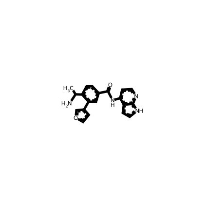 CC(N)c1ccc(C(=O)Nc2ccnc3[nH]ccc23)cc1-c1ccoc1